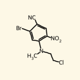 CN(CCCl)c1cc(Br)c(C#N)cc1[N+](=O)[O-]